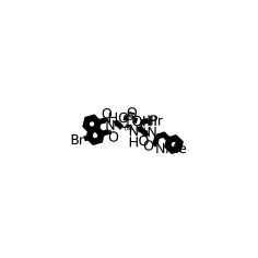 CNC(=O)C(Cc1ccccc1)NC(=O)[C@H](CC(C)C)N[C@H](CCN1C(=O)c2cccc3c(Br)ccc(c23)C1=O)P(=O)(O)O